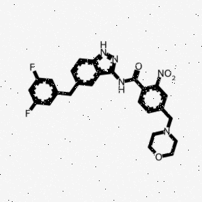 O=C(Nc1n[nH]c2ccc(Cc3cc(F)cc(F)c3)cc12)c1ccc(CN2CCOCC2)cc1[N+](=O)[O-]